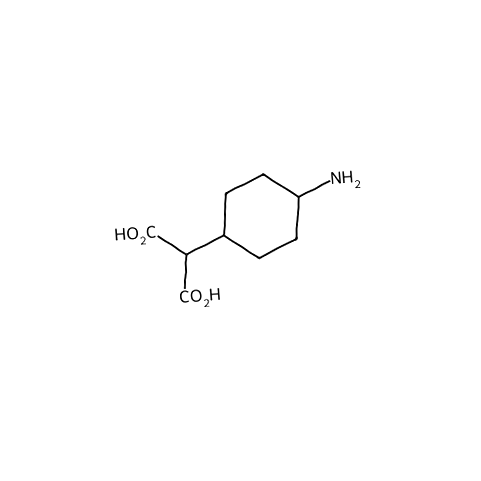 NC1CCC(C(C(=O)O)C(=O)O)CC1